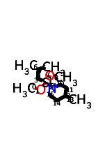 CO[Si](CC(C)C)(OC)N1CCC(C)CC1